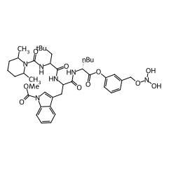 CCCC[C@@H](NC(=O)C(Cc1cn(C(=O)OC)c2ccccc12)NC(=O)C(CC(C)(C)C)NC(=O)N1C(C)CCCC1C)C(=O)Oc1cccc(CON(O)O)c1